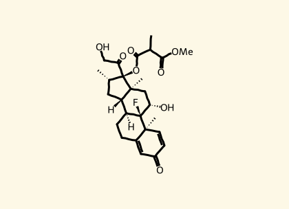 COC(=O)C(C)C(=O)O[C@]1(C(=O)CO)[C@@H](C)C[C@H]2[C@@H]3CCC4=CC(=O)C=C[C@]4(C)[C@@]3(F)[C@@H](O)C[C@@]21C